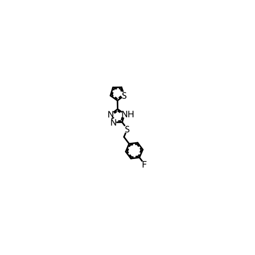 Fc1ccc(CSc2nnc(-c3cccs3)[nH]2)cc1